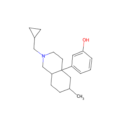 CC1CCC2CN(CC3CC3)CCC2(c2cccc(O)c2)C1